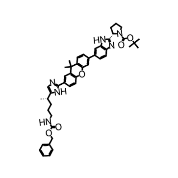 C[C@@H](CCCNC(=O)OCc1ccccc1)c1cnc(-c2ccc3c(c2)C(C)(C)c2ccc(-c4ccc5nc([C@@H]6CCCN6C(=O)OC(C)(C)C)[nH]c5c4)cc2O3)[nH]1